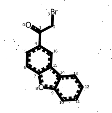 O=C(CBr)c1ccc2oc3ccccc3c2c1